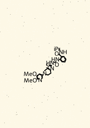 COc1cc(N2CCc3nc(NC(=O)Nc4ccccc4C(=O)NC(C)C)sc3C2)cnc1OC